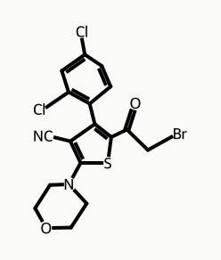 N#Cc1c(N2CCOCC2)sc(C(=O)CBr)c1-c1ccc(Cl)cc1Cl